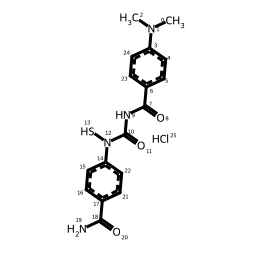 CN(C)c1ccc(C(=O)NC(=O)N(S)c2ccc(C(N)=O)cc2)cc1.Cl